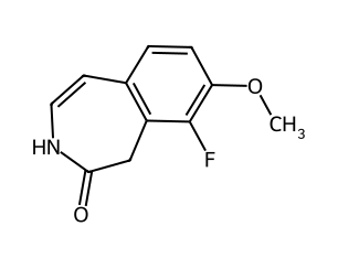 COc1ccc2c(c1F)CC(=O)NC=C2